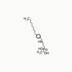 CCCCCCCCCc1ccc(CNCCCP(=O)(O)C(C)O)cc1